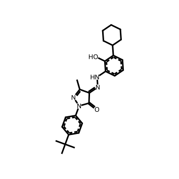 CC1=NN(c2ccc(C(C)(C)C)cc2)C(=O)/C1=N/Nc1cccc(C2CCCCC2)c1O